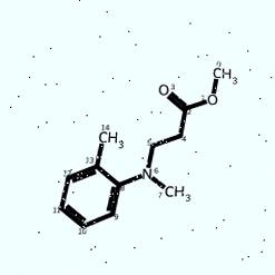 COC(=O)CCN(C)c1ccccc1C